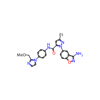 CCc1cc(C(=O)Nc2ccc(-n3ccnc3COC)cc2)n(-c2ccc3onc(N)c3c2)n1